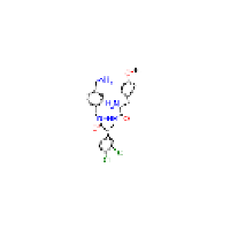 CCOc1ccc(C[C@@H](N)C(=O)NC[C@H](C(=O)NCc2ccc(CN)cc2)c2ccc(Cl)c(Cl)c2)cc1